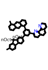 CCCCCCCCC1(CCCCCCCC)c2cc(C)ccc2-c2ccc(-c3cc(-c4ccc5ccc6cccnc6c5n4)cc(-c4cccc5cc6c(C)cccc6cc45)c3)cc21